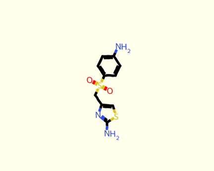 Nc1ccc(S(=O)(=O)Cc2csc(N)n2)cc1